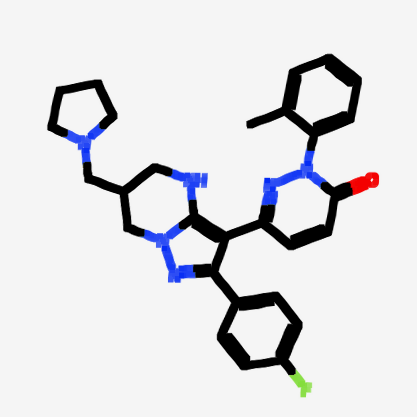 Cc1ccccc1-n1nc(-c2c(-c3ccc(F)cc3)nn3c2NCC(CN2CCCC2)C3)ccc1=O